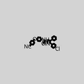 N#Cc1ccc(Oc2ccc(NC(=O)N3CC(c4ccccc4)=C(c4ccc(Cl)cc4)N3)cc2)cc1